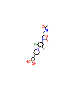 CC(=O)NCC1CN(c2cc(F)c(N3CCC(C4CS(O)(O)C4)CC3)c(F)c2)C(=O)O1